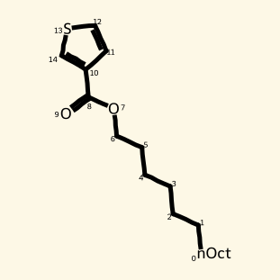 CCCCCCCCCCCCCCOC(=O)c1ccsc1